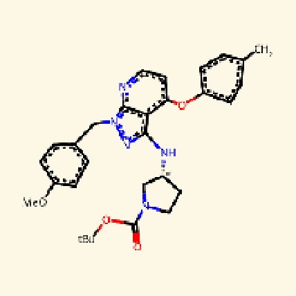 COc1ccc(Cn2nc(N[C@@H]3CCN(C(=O)OC(C)(C)C)C3)c3c(Oc4ccc(C)cc4)ccnc32)cc1